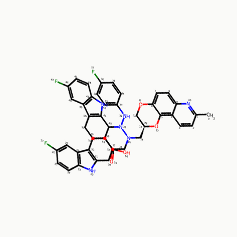 Cc1ccc2c3c(ccc2n1)OC[C@H](CN(CC1CCc2c([nH]c4ccc(F)cc24)C1)N(Nc1ccc(F)cc1)C1c2[nH]c4ccc(F)cc4c2CCC1C(=O)O)O3